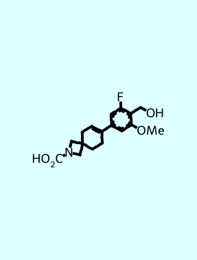 COc1cc(C2=CCC3(CC2)CN(C(=O)O)C3)cc(F)c1CO